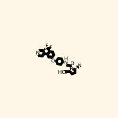 C#CC1CC[C@@H](C#N)N1C(=O)CN[C@H]1CC[C@H](Oc2ccc(C(F)(F)F)c(-c3ccncc3)c2)CC1